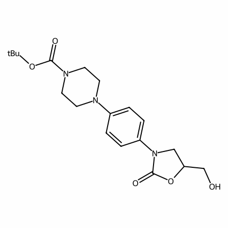 CC(C)(C)OC(=O)N1CCN(c2ccc(N3CC(CO)OC3=O)cc2)CC1